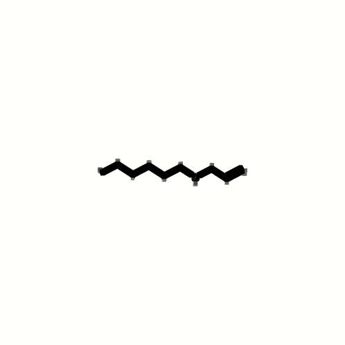 [CH]=CCOCCCCCC